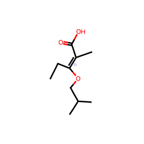 CC/C(OCC(C)C)=C(/C)C(=O)O